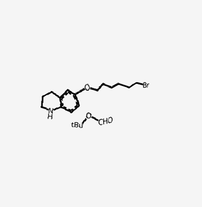 BrCCCCCCOc1ccc2c(c1)CCCN2.CC(C)(C)OC=O